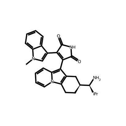 CC(C)[C@H](N)[C@H]1CCc2c(c(C3=C(c4cn(C)c5ccccc45)C(=O)NC3=O)c3ccccn23)C1